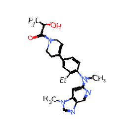 CCc1cc(C2=CCN(C(=O)C(O)C(F)(F)F)CC2)ccc1N(C)c1cc2c(cn1)ncn2C